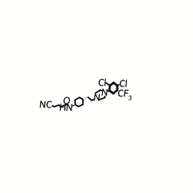 N#CCCCC(=O)N[C@H]1CC[C@H](CCN2CCN(c3cc(C(F)(F)F)c(Cl)cc3Cl)CC2)CC1